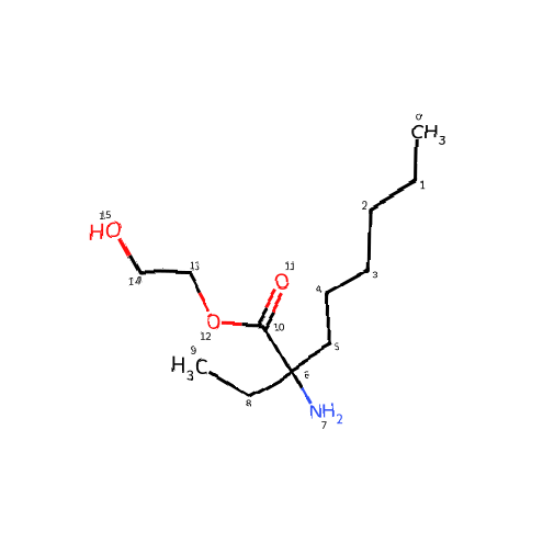 CCCCCCC(N)(CC)C(=O)OCCO